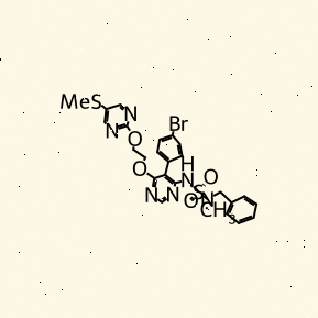 CSc1cnc(OCCOc2ncnc(NS(=O)(=O)N(C)Cc3ccccc3)c2-c2ccc(Br)cc2)nc1